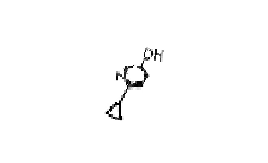 Oc1ccc(C2CC2)nc1